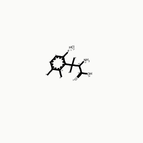 Cc1ccc(F)c(C(C)(C)C(N)C(=O)O)c1C.Cl